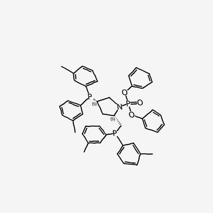 Cc1cccc(P(C[C@@H]2C[C@H](P(c3cccc(C)c3)c3cccc(C)c3)CN2P(=O)(Oc2ccccc2)Oc2ccccc2)c2cccc(C)c2)c1